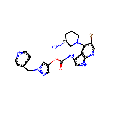 N[C@@H]1CCCN(c2c(Br)cnc3[nH]cc(NC(=O)Oc4cnn(Cc5ccncc5)c4)c23)C1